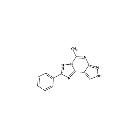 Cc1nc2n[nH]cc2c2nc(-c3ccccc3)nn12